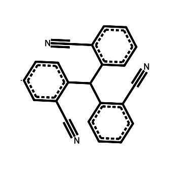 N#Cc1c[c]ccc1C(c1ccccc1C#N)c1ccccc1C#N